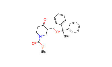 CC(C)(C)OC(=O)N1CCC(=O)C(CO[Si](c2ccccc2)(c2ccccc2)C(C)(C)C)C1